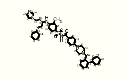 Cc1cc(S(=O)(=O)NC(=O)c2ccc(N3CCN(Cc4ccccc4-c4ccccc4)CC3)cc2)ccc1N[C@H](CCn1ccnc1)CSc1ccccc1